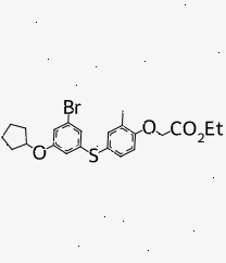 CCOC(=O)COc1ccc(Sc2cc(Br)cc(OC3CCCC3)c2)cc1C